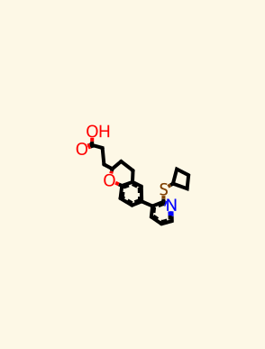 O=C(O)CCC1CCc2cc(-c3cccnc3SC3CCC3)ccc2O1